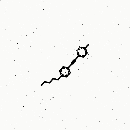 CCCCCc1ccc(C#Cc2ccc(C)nn2)cc1